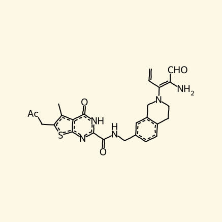 C=C/C(=C(/N)C=O)N1CCc2ccc(CNC(=O)c3nc4sc(CC(C)=O)c(C)c4c(=O)[nH]3)cc2C1